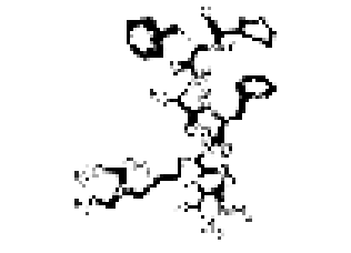 CCN(CCCC[C@H](NC(=O)[C@H](Cc1ccccc1)NC(=O)[C@H](C)NC(=O)[C@H](Cc1ccccc1)NC(=O)C1CCCCC1)C(=O)NC(C(N)=O)[C@@H](C)O)C(C)C